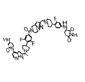 CNc1ccn(-c2ccnc3c2cc([C@H](C)N2CCC(c4c(F)cc(C(=O)N5CCn6nc(CN7CCC(c8ccc(NC9CCC(=O)NC9=O)cc8F)CC7)cc6C5)cc4F)CC2)n3C)c(=O)c1